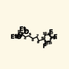 CCO[Si](C)(CCCCCc1cc(F)c(F)cc1F)OCC